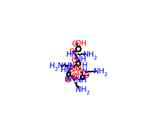 COc1ccc(NC(=O)[C@H](CCCCN)NC(=O)c2cc(NC(=O)[C@H](CCCCN)NC(=O)c3cc(NC(=O)[C@H](CCCCN)NC(=O)C4=CC(C(=O)O)=CC=CC4)ccc3OC)ccc2OC)cc1C(=O)NCCCCCN